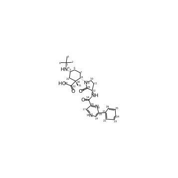 CC(C)(C)N[C@@H]1CC[C@H](N2CCC(NC(=O)c3cncc(-c4ccccc4)n3)C2=O)[C@](C)(C(=O)O)C1